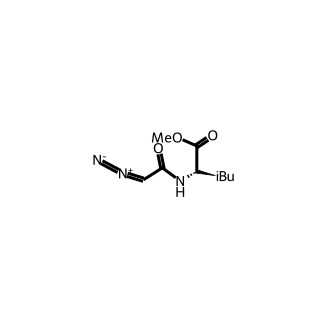 CC[C@H](C)[C@H](NC(=O)C=[N+]=[N-])C(=O)OC